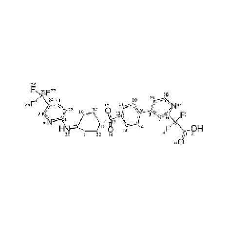 O=C(O)C(F)(F)c1cc(-c2ccc(S(=O)(=O)[C@H]3CC[C@H](Nc4ccc(C(F)(F)F)cn4)CC3)cc2)ccn1